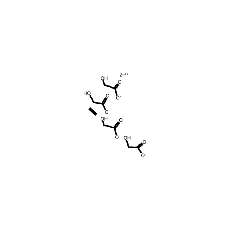 C=C.O=C([O-])CO.O=C([O-])CO.O=C([O-])CO.O=C([O-])CO.[Zr+4]